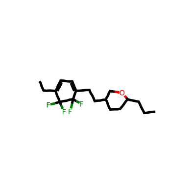 CCCC1CCC(CCC2=CC=C(CC)C(F)(F)C2(F)F)CO1